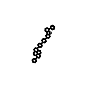 c1ccc(-c2ccc3ccc4c(-c5ccc(-c6ccc(-c7ccc8oc9c(-c%10ccccc%10)cccc9c8c7)cc6)cc5)ccc5ccc2c3c54)cc1